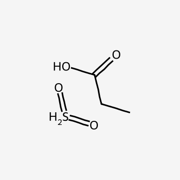 CCC(=O)O.O=[SH2]=O